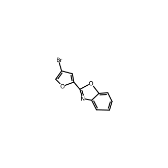 Brc1coc(-c2nc3ccccc3o2)c1